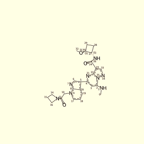 CNc1cc(-c2cnc3n(CC(=O)N4CCC4)cccc2-3)nc2c(C(=O)N[C@H]3CC[C@@H]3OC)cnn12